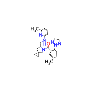 Cc1ccc(-n2nccn2)c(C(=O)N2CC3(CC3)CC2CNc2cccc(C)n2)c1